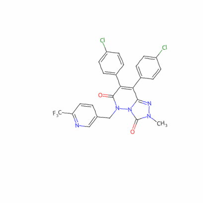 Cn1nc2c(-c3ccc(Cl)cc3)c(-c3ccc(Cl)cc3)c(=O)n(Cc3ccc(C(F)(F)F)nc3)n2c1=O